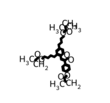 C=C(C)C(=O)OCCCCc1cc(CCCCOC(=O)C(C)(C)C)cc2oc(=O)c(-c3ccc(OC(=O)C(=C)C)cc3)cc12